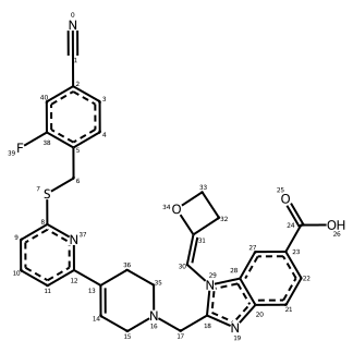 N#Cc1ccc(CSc2cccc(C3=CCN(Cc4nc5ccc(C(=O)O)cc5n4C=C4CCO4)CC3)n2)c(F)c1